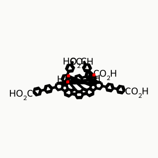 O=C(O)c1ccc(-c2ccc(C3CC4c5ccc6c7ccc8c9ccc%10c%11c%12c%13c%14c%15c%16c(c5c6c%15c7c8c%14c%119)C4(c4ccc(-c5ccc(C(=O)O)cc5)cc4)[C@@H]4C3C3C(c5ccc(-c6ccc(C(=O)O)cc6)cc5)CC%10C%12(c5ccc(-c6ccc(C(=O)O)cc6)cc5)[C@@H]3C4[C@]%16%13c3ccc(-c4ccc(C(=O)O)cc4)cc3)cc2)cc1